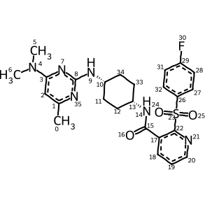 Cc1cc(N(C)C)nc(N[C@H]2CC[C@@H](NC(=O)c3cccnc3S(=O)(=O)c3ccc(F)cc3)CC2)n1